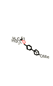 CCC(C)(OCc1ccc(C23CCC(OC)(CC2)CC3)cc1)C(=O)O